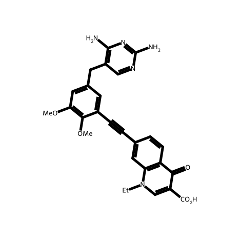 CCn1cc(C(=O)O)c(=O)c2ccc(C#Cc3cc(Cc4cnc(N)nc4N)cc(OC)c3OC)cc21